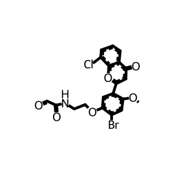 COc1cc(Br)c(OCCNC(=O)C=O)cc1-c1cc(=O)c2cccc(Cl)c2o1